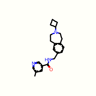 Cc1cncc(C(=O)NCc2ccc3c(c2)CCN(C2CCC2)CC3)c1